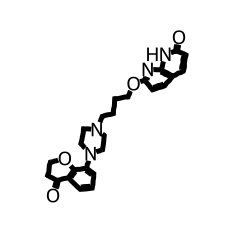 O=C1CCOc2c1cccc2N1CCN(CCCCOc2ccc3ccc(=O)[nH]c3n2)CC1